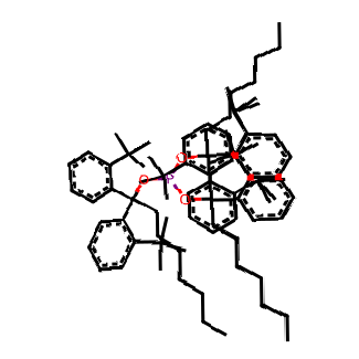 CCCCCCCC(OP(OC(CCCCCCC)(c1ccccc1C(C)(C)C)c1ccccc1C(C)(C)C)OC(CCCCCCC)(c1ccccc1C(C)(C)C)c1ccccc1C(C)(C)C)(c1ccccc1C(C)(C)C)c1ccccc1C(C)(C)C